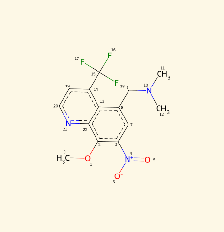 COc1c([N+](=O)[O-])cc(CN(C)C)c2c(C(F)(F)F)ccnc12